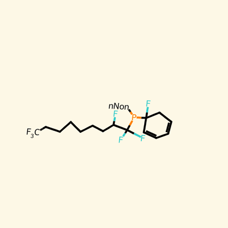 CCCCCCCCCP(C1(F)C=CC=CC1)C(F)(F)C(F)CCCCCCC(F)(F)F